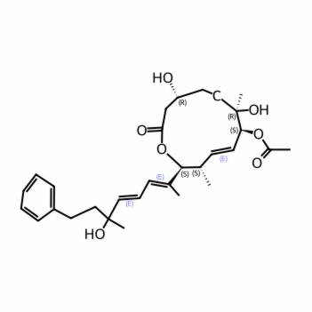 CC(=O)O[C@H]1/C=C/[C@H](C)[C@@H](/C(C)=C/C=C/C(C)(O)CCc2ccccc2)OC(=O)C[C@H](O)CC[C@@]1(C)O